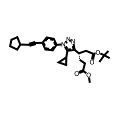 COC(=O)CC[C@@H](CC(=O)OC(C)(C)C)c1nnn(-c2ccc(C#CC3CCCC3)cc2)c1C1CC1